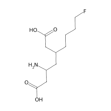 NC(CC(=O)O)CC(CCCCF)CC(=O)O